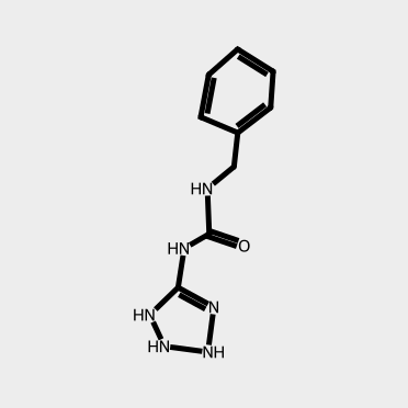 O=C(NCc1ccccc1)NC1=NNNN1